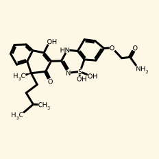 CC(C)CC[C@@]1(C)C(=O)C(C2=NS(O)(O)c3cc(OCC(N)=O)ccc3N2)=C(O)c2ccccc21